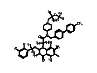 [2H]c1c(C)c([2H])c2c(=O)c([2H])c(SC([2H])([2H])c3cccc(F)c3F)n(C([2H])([2H])C(=O)N(Cc3ccc(-c4ccc(C(F)(F)F)cc4)cc3)C3CCN(CC([2H])([2H])OC([2H])([2H])[2H])CC3)c2c1[2H]